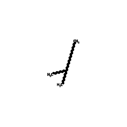 CCCCCCCCCCCCCCCCCCC(CCCCCCCC)CCCCCCCC